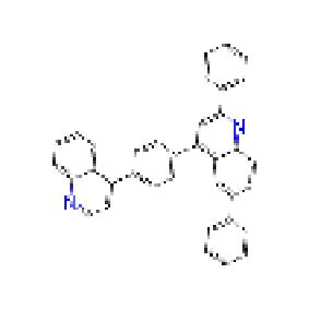 c1ccc(-c2ccc3nc(-c4ccccc4)cc(-c4ccc(-c5ccnc6ccccc56)cc4)c3c2)cc1